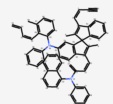 C#C/C=C\C1=C(C)C2(C(C)=C(/C=C\C(=C)N(c3ccccc3)c3cccc4ccccc34)c3ccc(N(c4ccccc4)c4cccc(C)c4/C=C\C=C)cc32)c2ccccc21